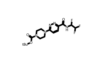 CC(C)(C)OC(=O)N1CCN(c2ccc(C(=O)NC(F)C(F)F)nn2)CC1